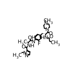 CCC(=O)N[C@H](Cc1ccc(NC(=O)[C@H](C)NC(=O)c2ccnn2CC)c(F)c1)C(=O)N1CCN(C)CC1